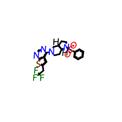 O=S(=O)(c1ccccc1)N1CC[C@H]2CN(c3ncnc4sc(CC(F)(F)F)cc34)CC[C@H]21